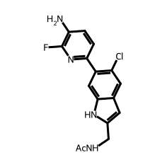 CC(=O)NCc1cc2cc(Cl)c(-c3ccc(N)c(F)n3)cc2[nH]1